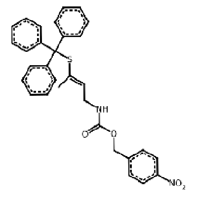 C/C(=C\CNC(=O)OCc1ccc([N+](=O)[O-])cc1)SC(c1ccccc1)(c1ccccc1)c1ccccc1